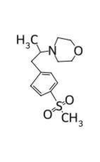 CC(Cc1ccc(S(C)(=O)=O)cc1)N1CCOCC1